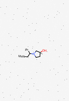 CNCC(C(C)C)N1CC[C@H](O)C1